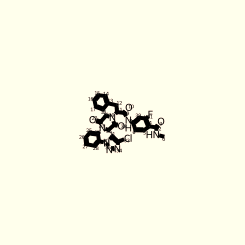 CNC(=O)c1ccc(NC(=O)C(Cc2ccccc2)N2CC(=O)N(c3ccccc3-n3cc(Cl)nn3)CC2=O)cc1F